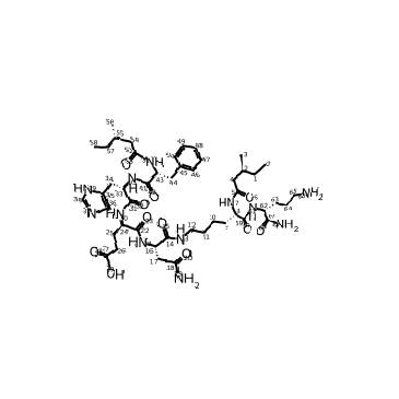 CC[C@H](C)CC(=O)N[C@@H](CCCCNC(=O)[C@H](CC(N)=O)NC(=O)[C@@H](CCC(=O)O)NC(=O)[C@H](Cc1cnc[nH]1)NC(=O)[C@@H](Cc1ccccc1)NC(=O)C[C@@H](C)CC)C(=O)N[C@H](CCCN)C(N)=O